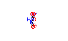 COc1cc2c(cc1OC)CN(CCNC(=O)c1ccc([N+](=O)[O-])cc1)CC2